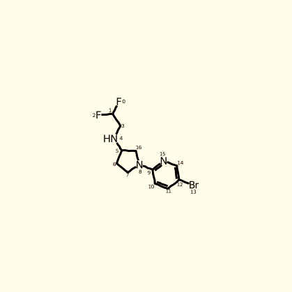 FC(F)CNC1CCN(c2ccc(Br)cn2)C1